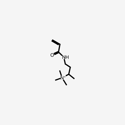 C=CC(=O)NCCC(C)[N+](C)(C)C